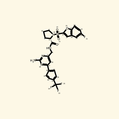 Nc1nc(CNC(=O)[C@@H]2CCCN2S(=O)(=O)c2cc3cc(F)ccc3o2)cc(-c2ccc(C(F)(F)F)cc2)n1